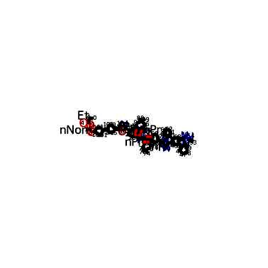 C=C(CC)C(=O)OC(CCCCCCCCC)Oc1ccc(-c2ccc(-c3cnc(-c4ccc5c(c4)C4(c6nc7c(nc6-5)C5(c6cc(-c8nnc9c%10cc%11c%12ccccc%12n%12c(C)nnc%12c%11cc%10c%10ccccc%10n89)ccc6-7)C6(CCC)CC(C)(C)CC5(CCC)CC(C)(C)C6)C5(CCC)CC(C)(C)CC4(CCC)CC(C)(C)C5)o3)cc2)cc1